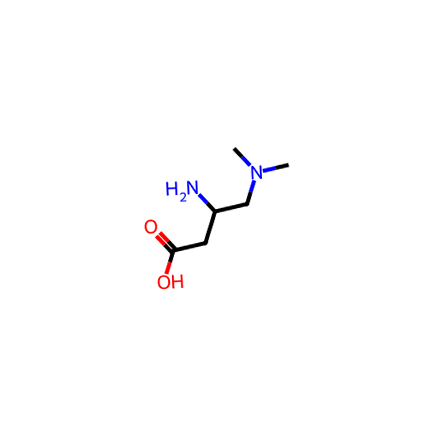 CN(C)CC(N)CC(=O)O